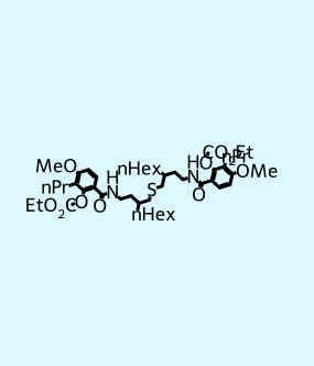 CCCCCCC(CCNC(=O)c1ccc(OC)c(CCC)c1OC(=O)OCC)CSCC(CCCCCC)CCNC(=O)c1ccc(OC)c(CCC)c1OC(=O)OCC